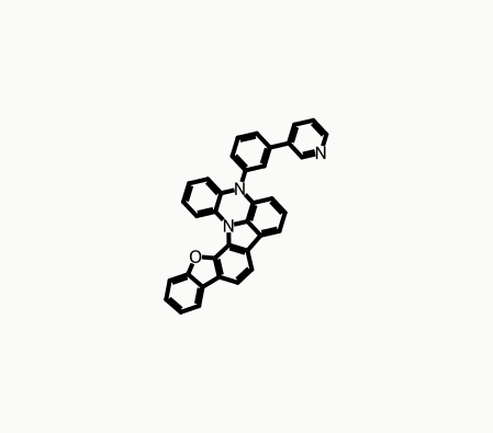 c1cncc(-c2cccc(N3c4ccccc4-n4c5c3cccc5c3ccc5c6ccccc6oc5c34)c2)c1